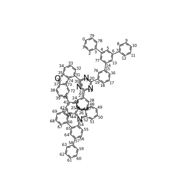 c1ccc(-c2cc(-c3ccccc3)cc(-c3cccc(-c4nc(-c5ccccc5)nc(-c5cccc6oc7ccc(-c8ccc9c(c8)c8ccccc8n9-c8ccc(-c9ccccc9)cc8-c8ccccc8)cc7c56)n4)c3)c2)cc1